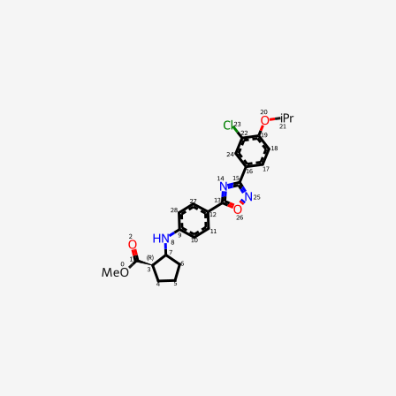 COC(=O)[C@@H]1CCCC1Nc1ccc(-c2nc(-c3ccc(OC(C)C)c(Cl)c3)no2)cc1